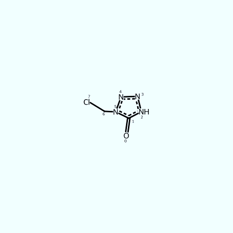 O=c1[nH]nnn1CCl